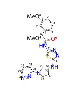 COc1cccc(C(OC)C(=O)Nc2nnc(N[C@@H]3CCN(c4cccnn4)C3)s2)c1